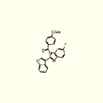 COc1ccc(C(=O)n2c(-c3coc4ccccc34)nc3ccc(F)cc32)cc1